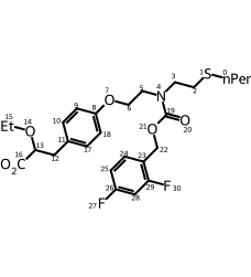 CCCCCSCCN(CCOc1ccc(CC(OCC)C(=O)O)cc1)C(=O)OCc1ccc(F)cc1F